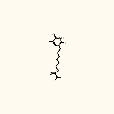 C=C(C)C(=O)OCCCCCCn1cc(F)c(=O)[nH]c1=O